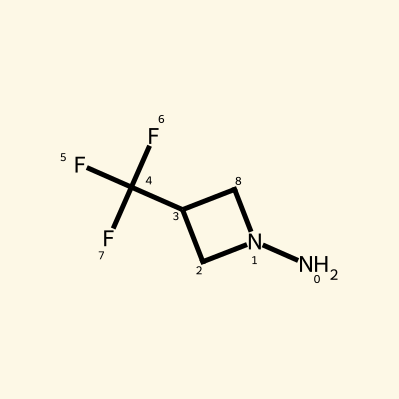 NN1CC(C(F)(F)F)C1